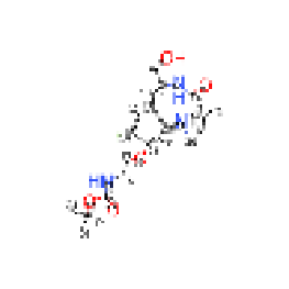 CC(C)[C@H]1C(=O)N[C@H](CO)Cc2cc(F)c(OCCNC(=O)OC(C)(C)C)cc2N1C